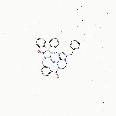 N=C1NC(c2ccccc2)(c2ccccc2)C(=O)N1Cc1cccc(C(=O)N2CCn3c(Cc4ccccc4)cnc3C2)c1